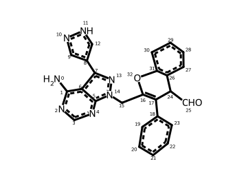 Nc1ncnc2c1c(-c1cn[nH]c1)nn2CC1=C(c2ccccc2)C(C=O)c2ccccc2O1